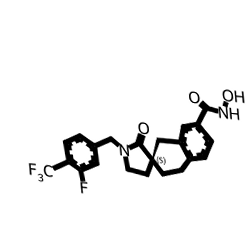 O=C(NO)c1ccc2c(c1)C[C@@]1(CC2)CCN(Cc2ccc(C(F)(F)F)c(F)c2)C1=O